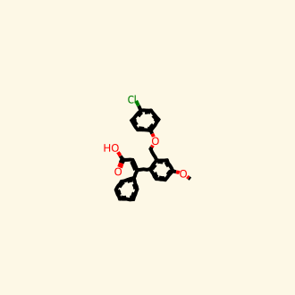 COc1ccc(C(=CC(=O)O)c2ccccc2)c(COc2ccc(Cl)cc2)c1